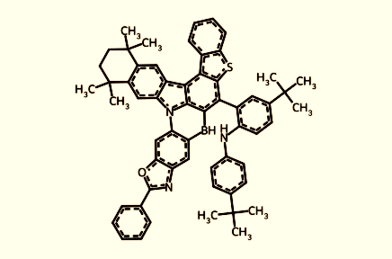 CC(C)(C)c1ccc(Nc2ccc(C(C)(C)C)cc2-c2c3c4c(c5cc6c(cc5n4-c4cc5oc(-c7ccccc7)nc5cc4B3)C(C)(C)CCC6(C)C)c3c2sc2ccccc23)cc1